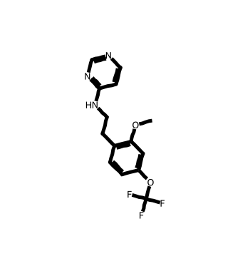 COc1cc(OC(F)(F)F)ccc1CCNc1ccncn1